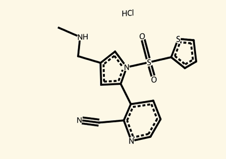 CNCc1cc(-c2cccnc2C#N)n(S(=O)(=O)c2cccs2)c1.Cl